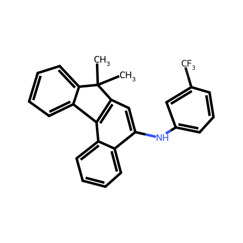 CC1(C)c2ccccc2-c2c1cc(Nc1cccc(C(F)(F)F)c1)c1ccccc21